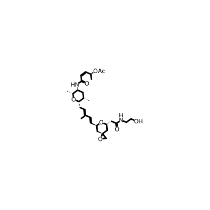 CC(=O)O[C@@H](C)/C=C\C(=O)N[C@@H]1C[C@H](C)[C@H](C/C=C(C)/C=C/[C@@H]2C[C@]3(CO3)C[C@@H](CC(=O)NCCO)O2)O[C@@H]1C